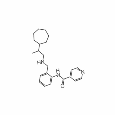 CC(CNCc1ccccc1NC(=O)c1ccncc1)C1CCCCCC1